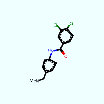 CNCc1ccc(NC(=O)c2ccc(Cl)c(Cl)c2)cc1